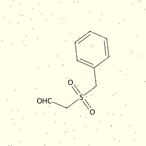 O=CCS(=O)(=O)Cc1ccccc1